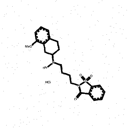 CCCN(CCCCN1C(=O)c2ccccc2S1(=O)=O)C1CCc2cccc(OC)c2C1.Cl